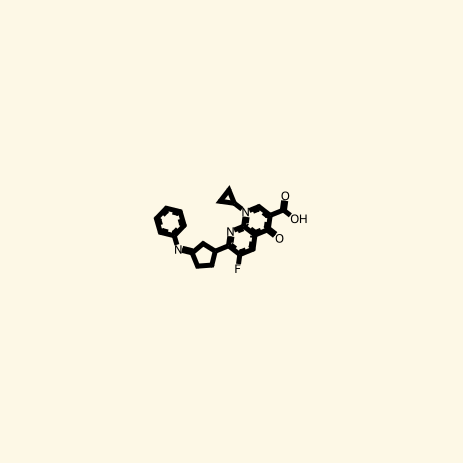 O=C(O)c1cn(C2CC2)c2nc(C3CCC(=Nc4ccccc4)C3)c(F)cc2c1=O